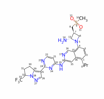 CC(C)c1ccc(N2C[C@H](CS(C)(=O)=O)[C@H]2N)c2cnc(Nc3ccnc(-c4cnn5c4CCC5C(F)(F)F)n3)cc12